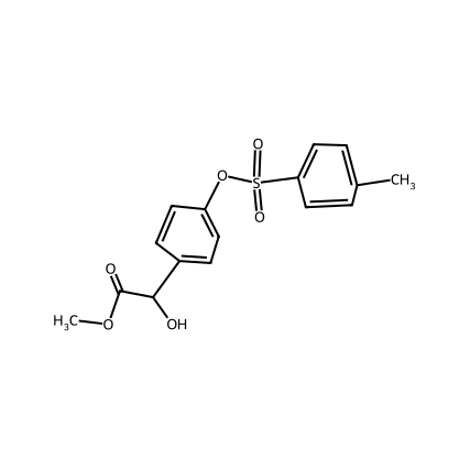 COC(=O)C(O)c1ccc(OS(=O)(=O)c2ccc(C)cc2)cc1